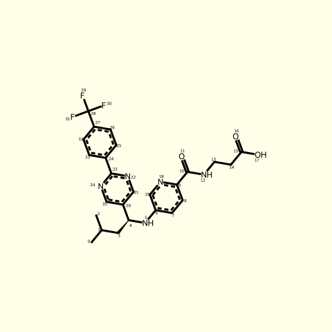 CC(C)C[C@H](Nc1ccc(C(=O)NCCC(=O)O)nc1)c1cnc(-c2ccc(C(F)(F)F)cc2)nc1